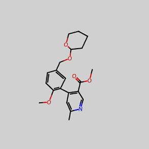 COC(=O)c1cnc(C)cc1-c1cc(COC2CCCCO2)ccc1OC